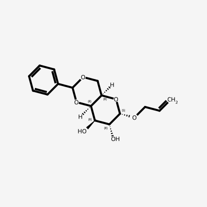 C=CCO[C@H]1O[C@@H]2COC(c3ccccc3)O[C@@H]2[C@H](O)[C@H]1O